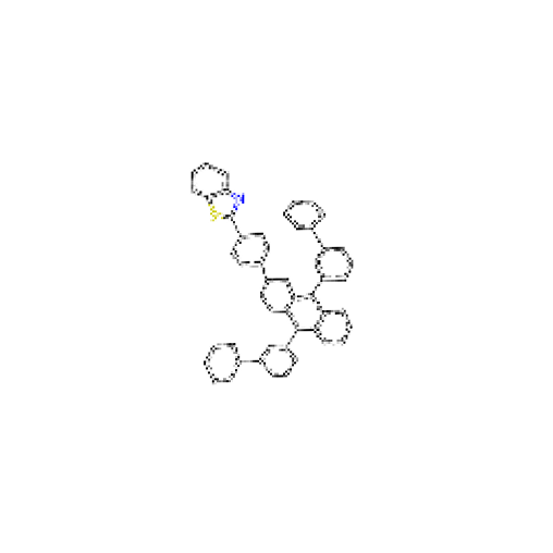 c1ccc(-c2cccc(-c3c4ccccc4c(-c4cccc(-c5ccccc5)c4)c4cc(-c5ccc(-c6nc7ccccc7s6)cc5)ccc34)c2)cc1